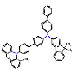 Cc1ccccc1N(c1ccc(-c2ccc(N(c3ccc(-c4ccccc4)cc3)c3ccc4c(c3)-c3ccccc3C4(C)C)cc2)cc1)c1ccccc1C